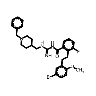 COc1ccc(Br)cc1CCc1c(F)cccc1C(=O)NC(=N)NCC1CCN(Cc2ccccc2)CC1